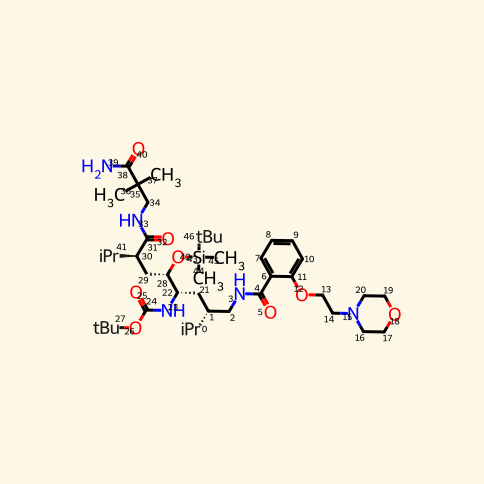 CC(C)[C@@H](CNC(=O)c1ccccc1OCCN1CCOCC1)C[C@H](NC(=O)OC(C)(C)C)[C@H](C[C@H](C(=O)NCC(C)(C)C(N)=O)C(C)C)O[Si](C)(C)C(C)(C)C